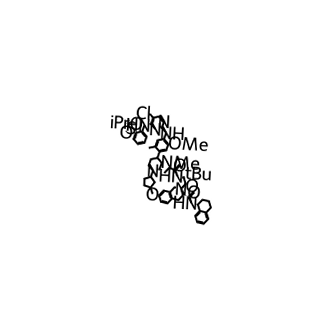 CN[C@@H](C)C(=O)N[C@H](C(=O)N1Cc2cc(OC3CCC(N4CCC(c5cc(OC)c(Nc6ncc(Cl)c(Nc7ccccc7S(=O)(=O)C(C)C)n6)cc5C)CC4)C3)ccc2C[C@H]1C(=O)N[C@@H]1CCCc2ccccc21)C(C)(C)C